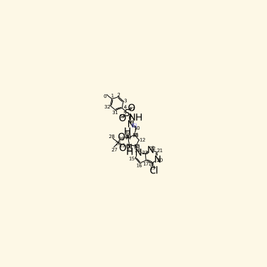 Cc1ccc(S(=O)(=O)N/N=C/[C@H]2C[C@@H](n3ccc4c(Cl)ncnc43)[C@@H]3OC(C)(C)O[C@@H]32)cc1